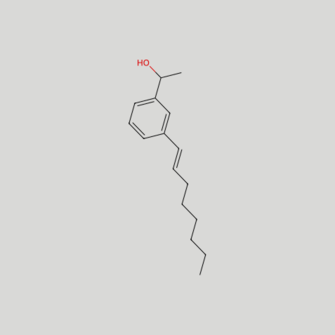 CCCCCCC=Cc1cccc(C(C)O)c1